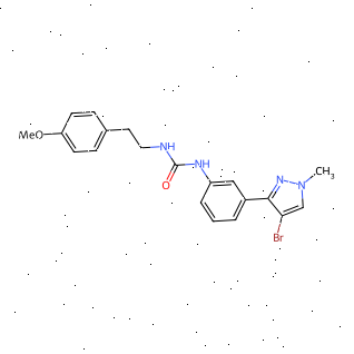 COc1ccc(CCNC(=O)Nc2cccc(-c3nn(C)cc3Br)c2)cc1